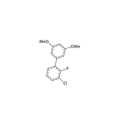 COc1cc(OC)cc(-c2[c]ccc(Cl)c2F)c1